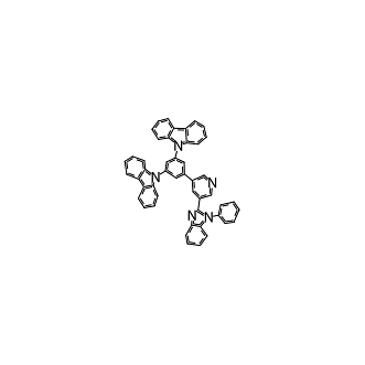 c1ccc(-n2c(-c3cncc(-c4cc(-n5c6ccccc6c6ccccc65)cc(-n5c6ccccc6c6ccccc65)c4)c3)nc3ccccc32)cc1